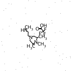 CNCCN1CC(C)N(C)[C@@H](C)C1.O=C(O)C(F)(F)F